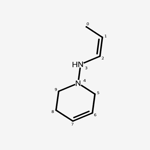 C/C=C\NN1CC=CCC1